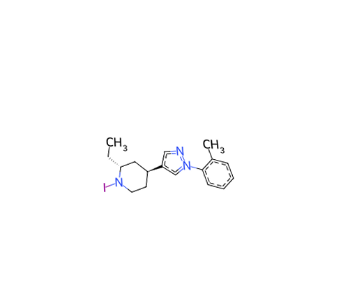 CC[C@@H]1C[C@@H](c2cnn(-c3ccccc3C)c2)CCN1I